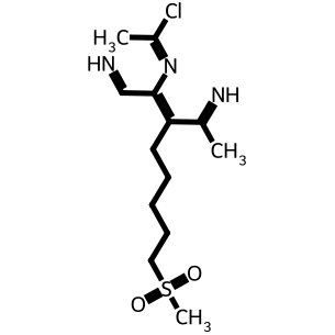 CC(=N)/C(CCCCCS(C)(=O)=O)=C(C=N)\N=C(/C)Cl